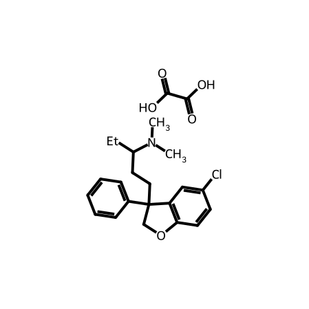 CCC(CCC1(c2ccccc2)COc2ccc(Cl)cc21)N(C)C.O=C(O)C(=O)O